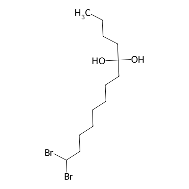 CCCCC(O)(O)CCCCCCCC(Br)Br